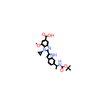 COc1cc(C(=O)O)cc2nc(-c3cc4ccc(C(C)NC(=O)OC(C)(C)C)cc4[nH]3)n(C3CC3)c12